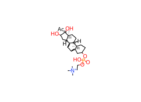 CC(=O)[C@@]1(O)C(O)C[C@H]2C3=CC=C4CC(OP(=O)(O)OCC[N+](C)(C)C)CC[C@]4(C)[C@H]3CC[C@@]21C